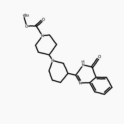 CC(C)(C)OC(=O)N1CCC(N2CCCC(c3nc4ccccc4c(=O)[nH]3)C2)CC1